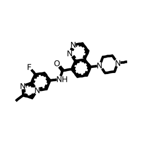 Cc1cn2cc(NC(=O)c3ccc(N4CCN(C)CC4)c4ccnnc34)cc(F)c2n1